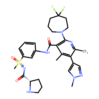 Cc1c(C(=O)Nc2cccc(S(C)(=O)=NC(=O)[C@@H]3CCCN3)c2)c(N2CCCC(F)(F)CC2)nc(C(F)(F)F)c1-c1cnn(C)c1